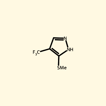 CSc1[nH]ncc1C(F)(F)F